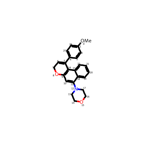 COc1ccc(C2=CCOc3cc(N4CCOCC4)c4ccccc4c32)cc1